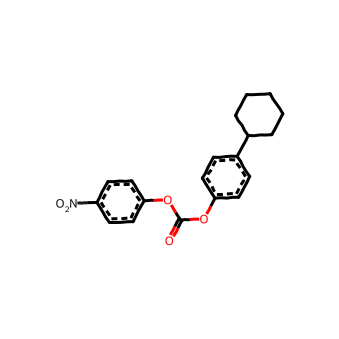 O=C(Oc1ccc(C2CCCCC2)cc1)Oc1ccc([N+](=O)[O-])cc1